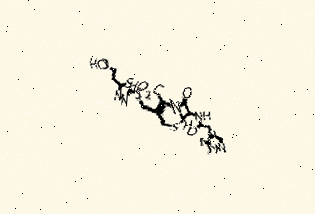 O=C(Cn1cnnn1)NC1C(=O)N2C(C(=O)O)=C(CSc3nnc(CCO)s3)CS[C@H]12